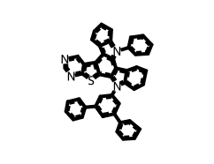 c1ccc(-c2cc(-c3ccccc3)cc(-n3c4ccccc4c4c3c3sc5ncncc5c3c3c5ccccc5n(-c5ccccc5)c34)c2)cc1